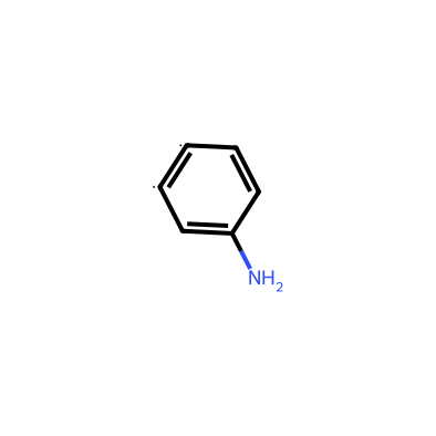 Nc1c[c][c]cc1